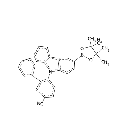 CC1(C)OB(c2ccc3c(c2)c2ccccc2n3-c2ccc(C#N)cc2-c2ccccc2)OC1(C)C